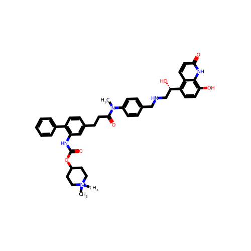 CN(C(=O)CCc1ccc(-c2ccccc2)c(NC(=O)OC2CC[N+](C)(C)CC2)c1)c1ccc(CNC[C@H](O)c2ccc(O)c3[nH]c(=O)ccc23)cc1